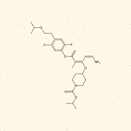 C=C(Oc1cc(F)c(CCOC(C)C)cc1F)/C(C)=C(\C=C/N)OC1CCN(C(=O)OC(C)C)CC1